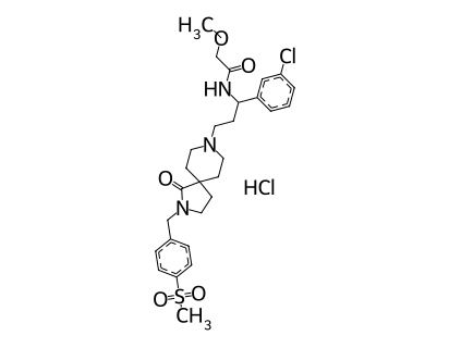 COCC(=O)NC(CCN1CCC2(CC1)CCN(Cc1ccc(S(C)(=O)=O)cc1)C2=O)c1cccc(Cl)c1.Cl